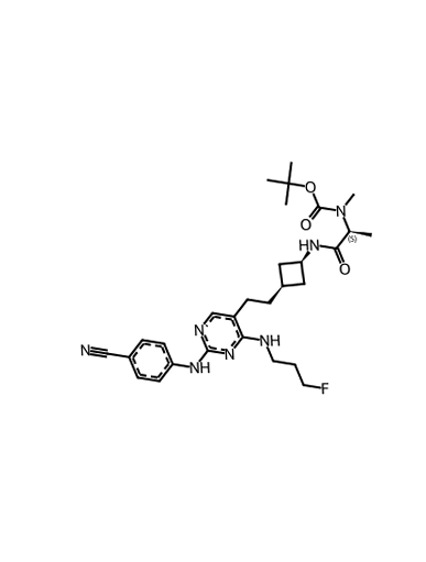 C[C@@H](C(=O)N[C@H]1C[C@@H](CCc2cnc(Nc3ccc(C#N)cc3)nc2NCCCF)C1)N(C)C(=O)OC(C)(C)C